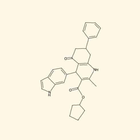 CC1=C(C(=O)OC2CCCC2)C(c2ccc3cc[nH]c3c2)C2=C(CC(c3ccccc3)CC2=O)N1